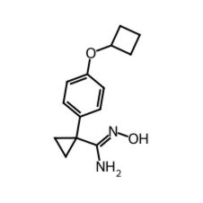 NC(=NO)C1(c2ccc(OC3CCC3)cc2)CC1